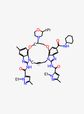 CCCC1CN(C2COc3cc(C)cc4nc(NC(=O)c5cc(C)nn5CC)n(c34)C/C=C/Cn3c(NC(=O)c4cc(C)nn4CC)nc4cc(C(=O)NC5CCCCC5)cc(c43)OC2)CCO1